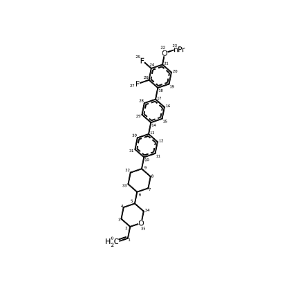 C=CC1CCC(C2CCC(c3ccc(-c4ccc(-c5ccc(OCCC)c(F)c5F)cc4)cc3)CC2)CO1